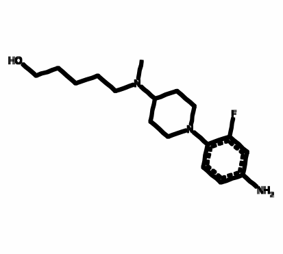 CN(CCCCCO)C1CCN(c2ccc(N)cc2F)CC1